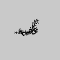 CC1(c2ccccn2)CN(C(=O)[C@@H]2CC[C@@H]3CCC[C@H](NC(=O)c4cc5cc(CP(=O)(O)O)ccc5s4)C(=O)N32)C1